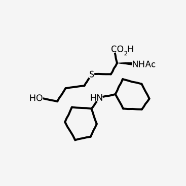 C1CCC(NC2CCCCC2)CC1.CC(=O)N[C@@H](CSCCCO)C(=O)O